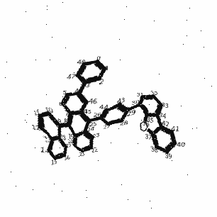 c1ccc(-c2ccc3c(-c4cccc5ccccc45)c4ccccc4c(-c4ccc(-c5cccc6c5oc5ccccc56)cc4)c3c2)cc1